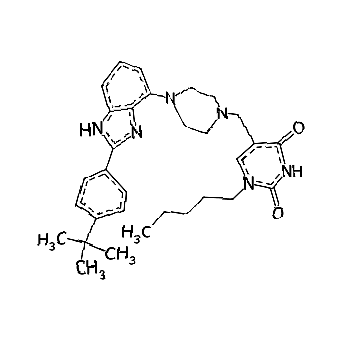 CCCCCn1cc(CN2CCN(c3cccc4[nH]c(-c5ccc(C(C)(C)C)cc5)nc34)CC2)c(=O)[nH]c1=O